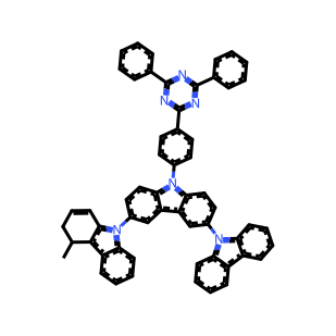 CC1CC=Cc2c1c1ccccc1n2-c1ccc2c(c1)c1cc(-n3c4ccccc4c4ccccc43)ccc1n2-c1ccc(-c2nc(-c3ccccc3)nc(-c3ccccc3)n2)cc1